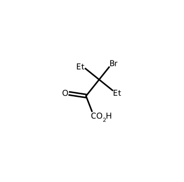 CCC(Br)(CC)C(=O)C(=O)O